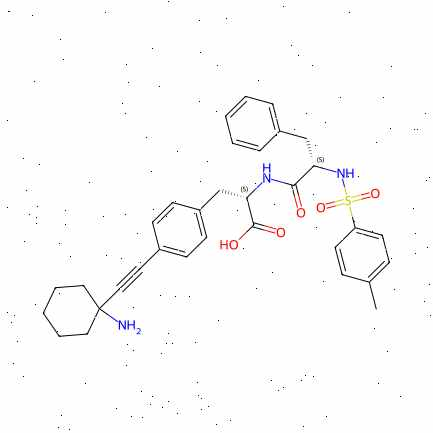 Cc1ccc(S(=O)(=O)N[C@@H](Cc2ccccc2)C(=O)N[C@@H](Cc2ccc(C#CC3(N)CCCCC3)cc2)C(=O)O)cc1